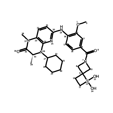 COc1cc(C(=O)N2CC3(CCS3(O)O)C2)ccc1Nc1ccc2c(n1)N(C1CCCCC1)[C@H](C)C(=O)N2C